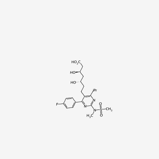 CC(C)c1nc(N(C)S(C)(=O)=O)nc(-c2ccc(F)cc2)c1CC[C@H](O)C[C@@H](O)CC(=O)O